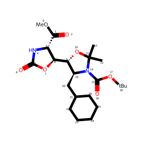 COC(=O)[C@H]1NC(=O)O[C@@H]1[C@@H]1OC(C)(C)N(C(=O)OC(C)(C)C)[C@H]1CC1CCCCC1